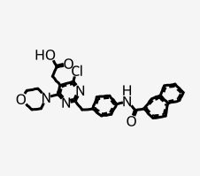 O=C(O)Cc1c(Cl)nc(Cc2ccc(NC(=O)c3ccc4ccccc4c3)cc2)nc1N1CCOCC1